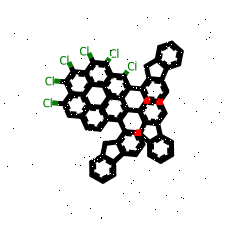 Clc1cc2ccc3c(-c4cccc5c4Cc4ccccc4-5)c(-c4cccc5c4Cc4ccccc4-5)c4c(-c5cccc6c5Cc5ccccc5-6)c(Cl)c5c(Cl)c(Cl)c6c(Cl)c(Cl)c1c1c2c3c4c5c61